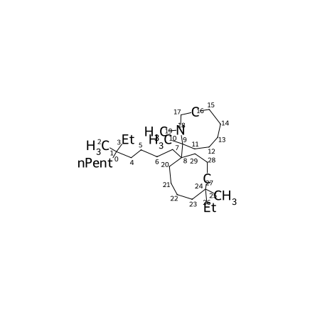 CCCCCC(C)(CC)CCCCC1(C2(C)CCCCCCCN2C)CCCCC(C)(CC)CCC1